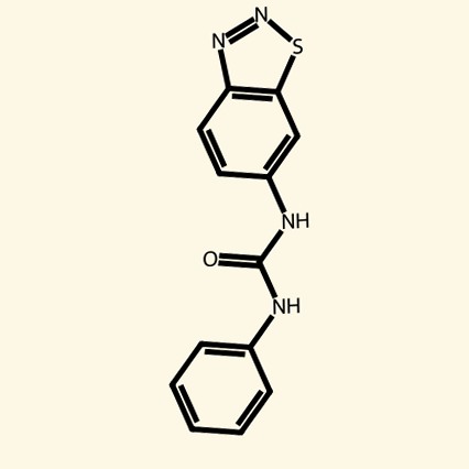 O=C(Nc1ccccc1)Nc1ccc2nnsc2c1